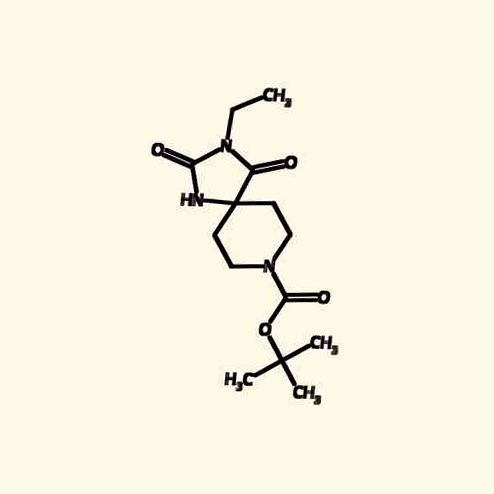 CCN1C(=O)NC2(CCN(C(=O)OC(C)(C)C)CC2)C1=O